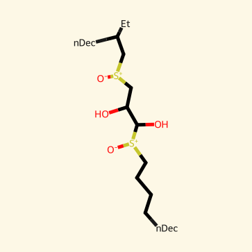 CCCCCCCCCCCCCC[S+]([O-])C(O)C(O)C[S+]([O-])CC(CC)CCCCCCCCCC